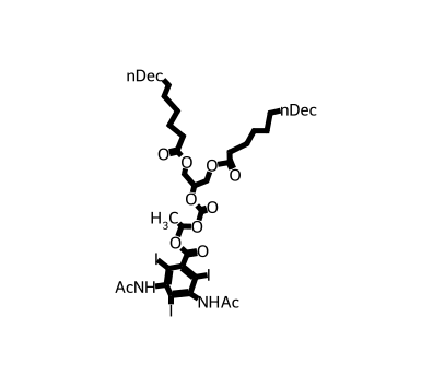 CCCCCCCCCCCCCCCC(=O)OCC(COC(=O)CCCCCCCCCCCCCCC)OC(=O)OC(C)OC(=O)c1c(I)c(NC(C)=O)c(I)c(NC(C)=O)c1I